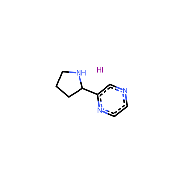 I.c1cnc(C2CCCN2)cn1